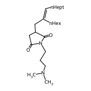 CCCCCCC/C=C(\CCCCCC)CC1CC(=O)N(CCCN(C)C)C1=O